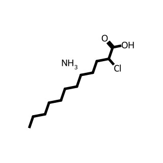 CCCCCCCCCCC(Cl)C(=O)O.N